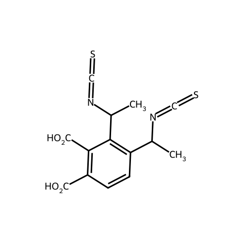 CC(N=C=S)c1ccc(C(=O)O)c(C(=O)O)c1C(C)N=C=S